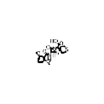 COc1cccc(OC)c1C(=O)NC1C(=O)N2C(C(=O)O)C3(CCSCC3)S[C@@H]12